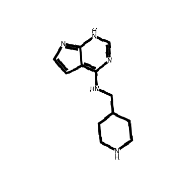 c1cc2c(NCC3CCNCC3)nc[nH]c-2n1